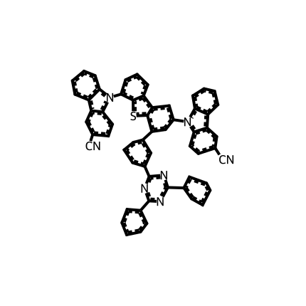 N#Cc1ccc2c(c1)c1ccccc1n2-c1cc(-c2cccc(-c3nc(-c4ccccc4)nc(-c4ccccc4)n3)c2)c2sc3c(-n4c5ccccc5c5cc(C#N)ccc54)cccc3c2c1